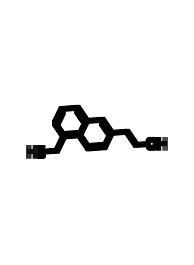 OCCc1ccc2c(CS)cccc2c1